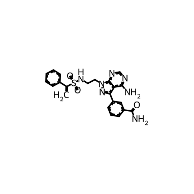 C=C(c1ccccc1)S(=O)(=O)NCCn1nc(-c2cccc(C(N)=O)c2)c2c(N)ncnc21